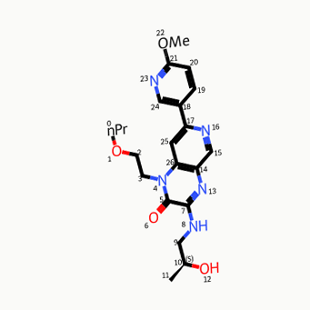 CCCOCCn1c(=O)c(NC[C@H](C)O)nc2cnc(-c3ccc(OC)nc3)cc21